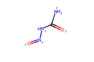 NC(=O)NN=O